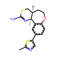 Cc1ncc(-c2ccc3c(c2)[C@@]2(C)N=C(N)SC[C@H]2CCO3)s1